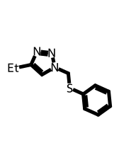 CCc1cn(CSc2ccccc2)nn1